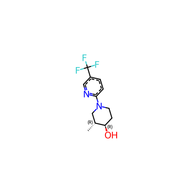 C[C@@H]1CN(c2ccc(C(F)(F)F)cn2)CC[C@H]1O